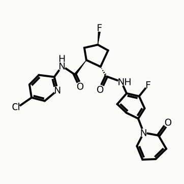 O=C(Nc1ccc(Cl)cn1)[C@H]1C[C@@H](F)C[C@@H]1C(=O)Nc1ccc(-n2ccccc2=O)cc1F